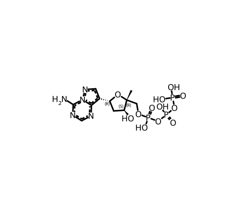 C[C@]1(COP(=O)(O)OP(=O)(O)OP(=O)(O)O)O[C@@H](c2cnn3c(N)ncnc23)C[C@@H]1O